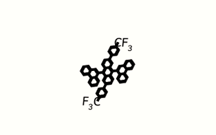 FC(F)(F)c1ccc(-c2ccc3c(-c4cc5ccccc5c5ccccc45)c4cc(-c5ccc(C(F)(F)F)cc5)ccc4c(-c4cc5ccccc5c5ccccc45)c3c2)cc1